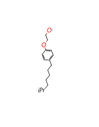 CC(C)CCCCCc1ccc(OCC[O])cc1